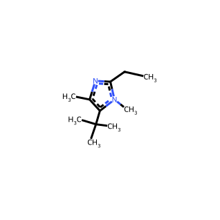 CCc1nc(C)c(C(C)(C)C)n1C